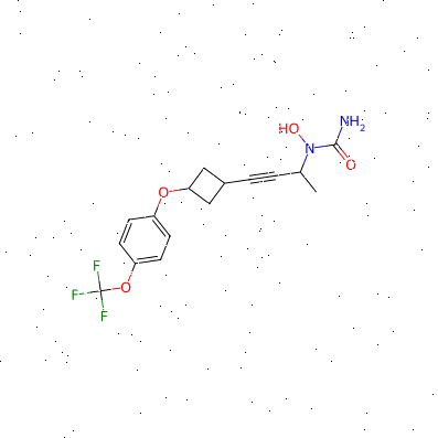 CC(C#CC1CC(Oc2ccc(OC(F)(F)F)cc2)C1)N(O)C(N)=O